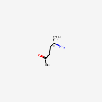 CCC(C)C(=O)CC[C@H](N)C(=O)O